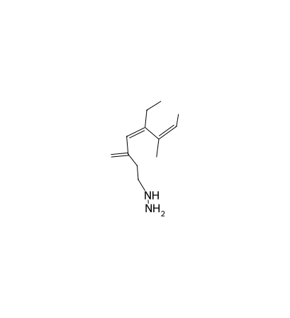 C=C(/C=C(CC)\C(C)=C/C)CCNN